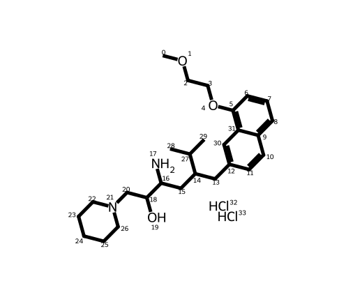 COCCOc1cccc2ccc(CC(CC(N)C(O)CN3CCCCC3)C(C)C)cc12.Cl.Cl